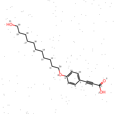 O=C(O)C#Cc1ccc(OCCCCCCCCCCCO)cc1